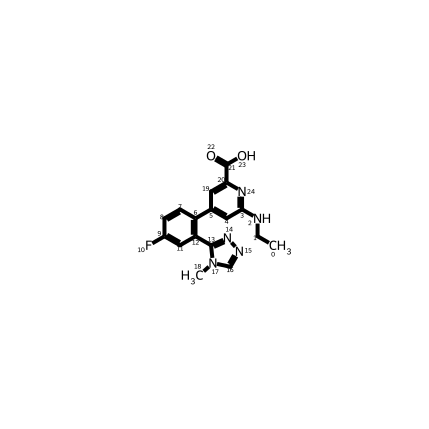 CCNc1cc(-c2ccc(F)cc2-c2nncn2C)cc(C(=O)O)n1